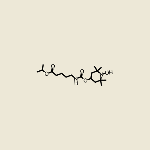 CC(C)OC(=O)CCCCNC(=O)OC1CC(C)(C)N(O)C(C)(C)C1